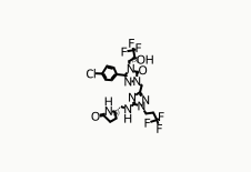 O=C1CC[C@@H](CNc2nc(Cn3nc(-c4ccc(Cl)cc4)n(C[C@H](O)C(F)(F)F)c3=O)nn2CCC(F)(F)F)N1